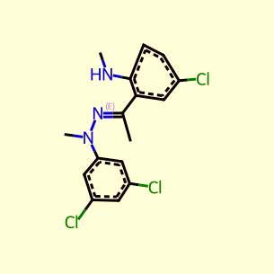 CNc1ccc(Cl)cc1/C(C)=N/N(C)c1cc(Cl)cc(Cl)c1